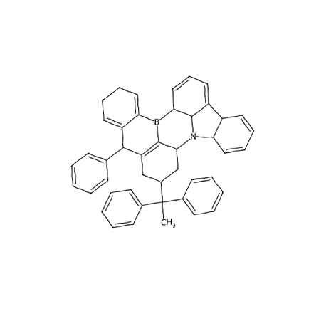 CC(c1ccccc1)(c1ccccc1)C1CC2=C3B(C4=CCCC=C4C2c2ccccc2)C2C=CC=C4C5C=CC=CC5N(C3C1)C42